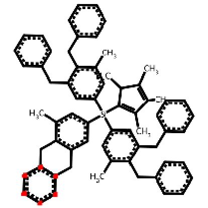 CC1=C(C)C(C)C([Si](c2cc(C)c(Cc3ccccc3)c(Cc3ccccc3)c2)(c2cc(C)c(Cc3ccccc3)c(Cc3ccccc3)c2)c2cc(C)c(Cc3ccccc3)c(Cc3ccccc3)c2)=C1C